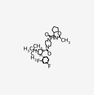 CC(=O)N[C@H](C(=O)N1CCN(C(=O)[C@@H]2CN(C(C)(C)C)C[C@H]2c2ccc(F)cc2F)CC1)C1CCCC1